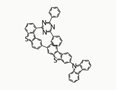 c1ccc(-c2nc(-c3ccccc3)nc(-c3cccc4sc5ccc(-c6ccc7c(c6)sc6cc(-n8c9ccccc9c9ccccc98)ccc67)cc5c34)n2)cc1